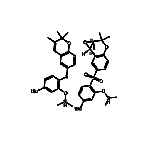 CC1=Cc2cc(Sc3ccc(C(C)(C)C)cc3O[SiH](C)C)ccc2OC1(C)C.C[SiH](C)Oc1cc(C(C)(C)C)ccc1S(=O)(=O)c1ccc2c(c1)[C@@H]1O[C@]1(C)C(C)(C)O2